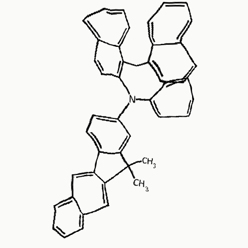 CC1(C)c2cc(N(c3ccccc3)c3ccc4ccccc4c3-c3cccc4ccccc34)ccc2-c2cc3ccccc3cc21